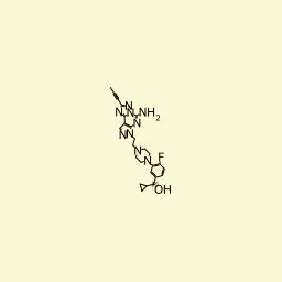 CC#Cc1nc2c3cnn(CCN4CCN(c5cc([C@H](O)C6CC6)ccc5F)CC4)c3nc(N)n2n1